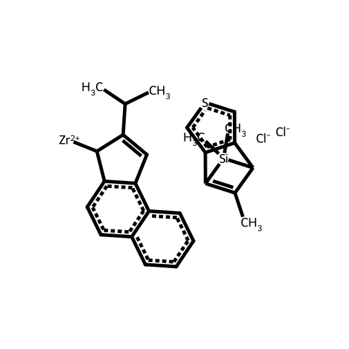 CC(C)C1=Cc2c(ccc3ccccc23)[CH]1[Zr+2].CC1=C2c3cscc3C1[Si]2(C)C.[Cl-].[Cl-]